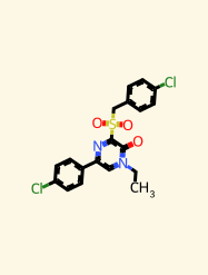 CCn1cc(-c2ccc(Cl)cc2)nc(S(=O)(=O)Cc2ccc(Cl)cc2)c1=O